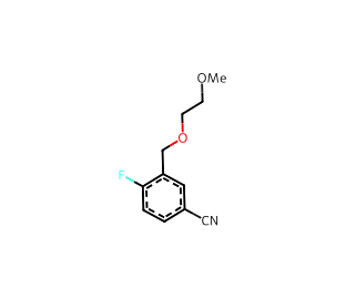 COCCOCc1cc(C#N)ccc1F